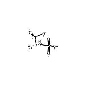 O=S(=O)(O)O.O=[N+]([O-])[O-].[Ag+]